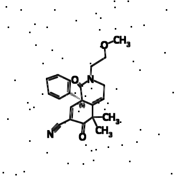 COCCN1CC=C2C(C)(C)C(=O)C(C#N)=C[C@@]2(c2ccccc2)C1=O